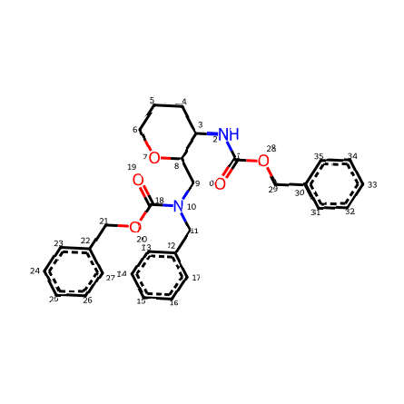 O=C(NC1CCCOC1CN(Cc1ccccc1)C(=O)OCc1ccccc1)OCc1ccccc1